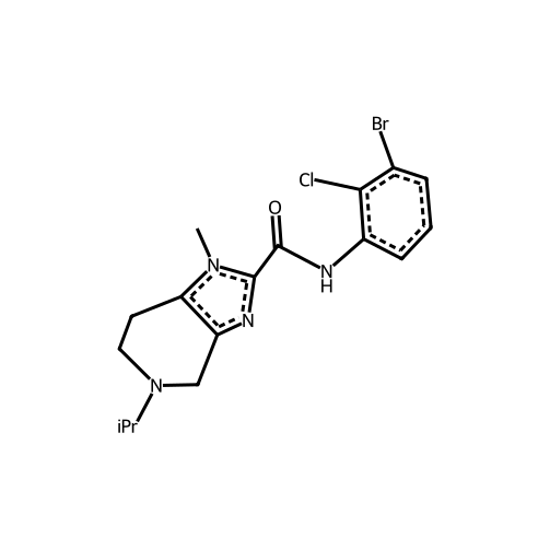 CC(C)N1CCc2c(nc(C(=O)Nc3cccc(Br)c3Cl)n2C)C1